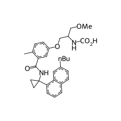 CCCCc1ccc2cccc(C3(NC(=O)c4cc(OCC(COC)NC(=O)O)ccc4C)CC3)c2c1